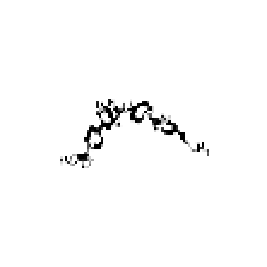 CCCc1cnc(N2CCC(Oc3nc4ncc(C5=CCN(C(=O)O)CC5)cc4s3)CC2)nc1